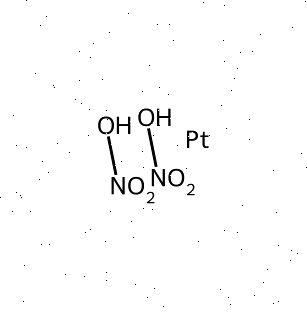 O=[N+]([O-])O.O=[N+]([O-])O.[Pt]